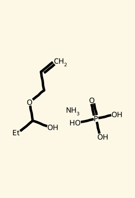 C=CCOC(O)CC.N.O=P(O)(O)O